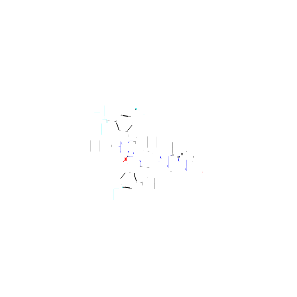 Cc1cc(F)ccc1C1CC(N2CCN3C(=O)CC[C@H]3C2)CCN1C(=O)N(C)[C@H](C)c1cc(C(F)(F)F)cc(C(F)(F)F)c1